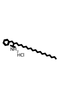 CCCCCCCCCCCCCCCCCCC(Cc1ccccc1)C(C)(C)N.Cl